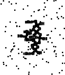 CCCCCCCCOP(=O)(O)OP(=O)(OCCCCCCCC)OC(O)(OP(=O)(OCCCCCCCC)OP(=O)(O)OCCCCCCCC)C(=O)O.[O]=[Ti]([OH])[OH]